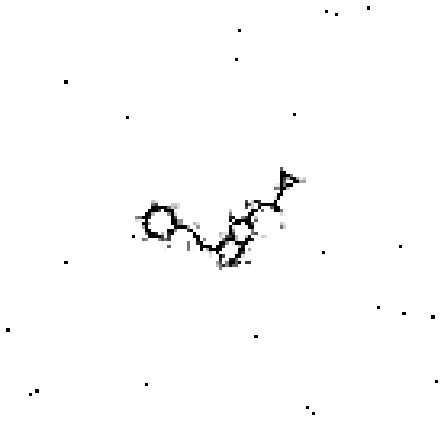 O=C(Nc1nc2[nH]nc(NCc3ccccn3)c2s1)C1CC1